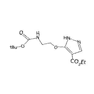 CCOC(=O)c1cn[nH]c1OCCNC(=O)OC(C)(C)C